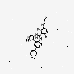 FCCNc1ccc(F)c(C2=Nc3ncc(C4=CCOCC4)cc3-c3[nH]ncc3N2)c1F